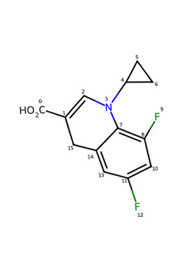 O=C(O)C1=CN(C2CC2)c2c(F)cc(F)cc2C1